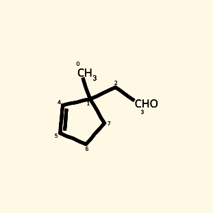 CC1(CC=O)C=CCC1